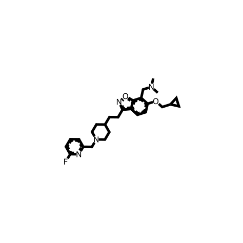 CN(C)Cc1c(OCC2CC2)ccc2c(CCC3CCN(Cc4cccc(F)n4)CC3)noc12